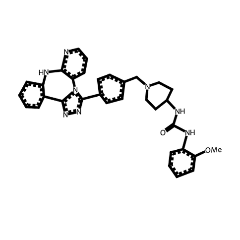 COc1ccccc1NC(=O)NC1CCN(Cc2ccc(-c3nnc4n3-c3cccnc3Nc3ccccc3-4)cc2)CC1